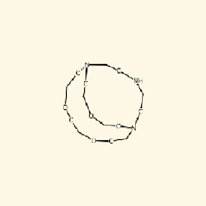 C1CN2CCOCCOCC[N@](CCN1)CCOCC2